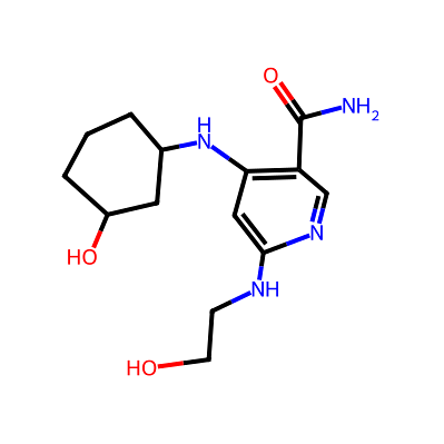 NC(=O)c1cnc(NCCO)cc1NC1CCCC(O)C1